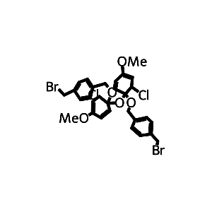 COC1=CC(Cl)C(OCc2ccc(CBr)cc2)(OC2(OCc3ccc(CBr)cc3)C=CC(OC)=CC2Cl)C=C1